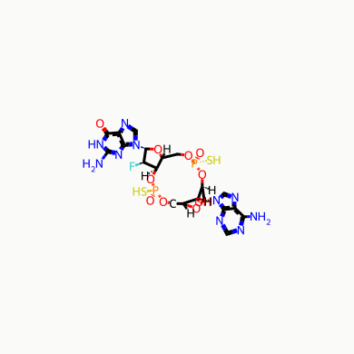 Nc1nc2c(ncn2[C@@H]2O[C@@H]3CO[P@](=O)(S)O[C@@H]4[C@H](O)[C@@H](CO[P@@](=O)(S)O[C@H]3[C@H]2F)O[C@H]4n2cnc3c(N)ncnc32)c(=O)[nH]1